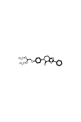 COC(COc1ccc(N2CCc3nc(-c4ccccc4)sc3C2=O)cc1)OC